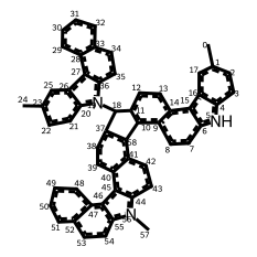 Cc1ccc2[nH]c3ccc4c5c(ccc4c3c2c1)C(n1c2ccc(C)cc2c2c3ccccc3ccc21)c1ccc2c(ccc3c2c2c4ccccc4ccc2n3C)c1-5